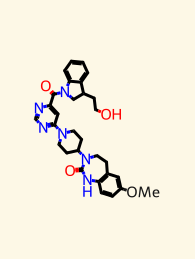 COc1ccc2c(c1)CCN(C1CCN(c3cc(C(=O)N4CC(CCO)c5ccccc54)ncn3)CC1)C(=O)N2